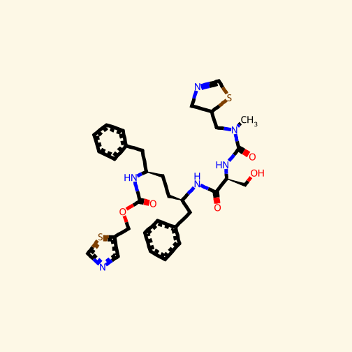 CN(CC1CN=CS1)C(=O)N[C@@H](CO)C(=O)N[C@H](CC[C@H](Cc1ccccc1)NC(=O)OCc1cncs1)Cc1ccccc1